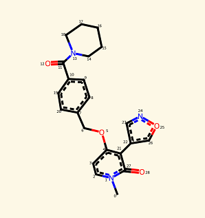 Cn1ccc(OCc2ccc(C(=O)N3CCCCC3)cc2)c(-c2cnoc2)c1=O